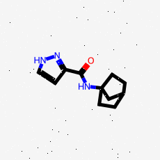 O=C(NC12CCC(CC1)C2)c1cc[nH]n1